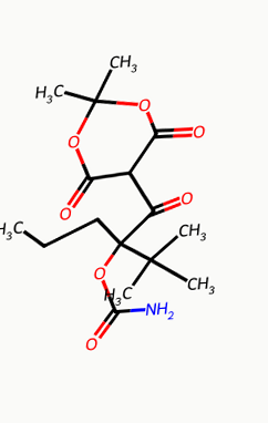 CCCC(OC(N)=O)(C(=O)C1C(=O)OC(C)(C)OC1=O)C(C)(C)C